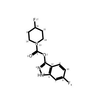 O=C(Oc1n[nH]c2cc(F)ccc12)N1CCC(F)CC1